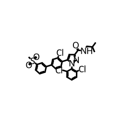 CC(C)CNC(=O)c1cc(-c2ccc(-c3cccc(S(C)(=O)=O)c3)cc2Cl)n(-c2c(Cl)cccc2Cl)n1